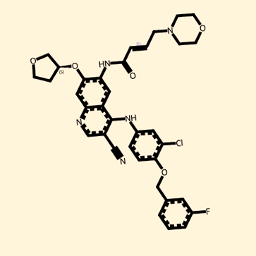 N#Cc1cnc2cc(O[C@H]3CCOC3)c(NC(=O)/C=C/CN3CCOCC3)cc2c1Nc1ccc(OCc2cccc(F)c2)c(Cl)c1